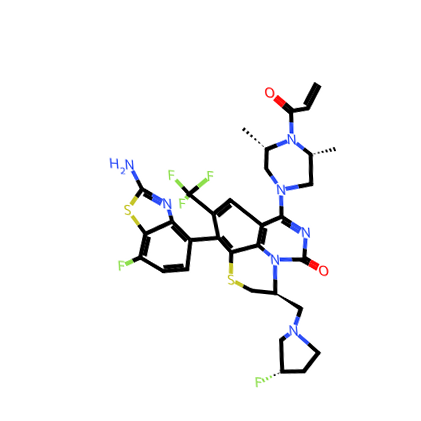 C=CC(=O)N1[C@H](C)CN(c2nc(=O)n3c4c(c(-c5ccc(F)c6sc(N)nc56)c(C(F)(F)F)cc24)SC[C@@H]3CN2CC[C@H](F)C2)C[C@@H]1C